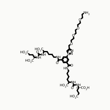 NCCOCCOCCOCCOCc1cn(-c2cc(C(=O)NCCCCC(NC(=O)N[C@@H](CCC(=O)O)C(=O)O)C(=O)O)cc(C(=O)NCCCCC(NC(=O)N[C@@H](CCC(=O)O)C(=O)O)C(=O)O)c2)nn1